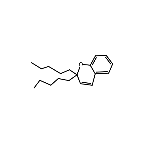 CCCCCC1(CCCCC)C=Cc2ccccc2O1